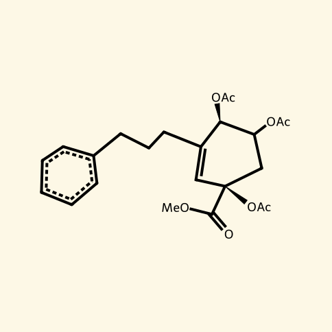 COC(=O)[C@]1(OC(C)=O)C=C(CCCc2ccccc2)[C@@H](OC(C)=O)C(OC(C)=O)C1